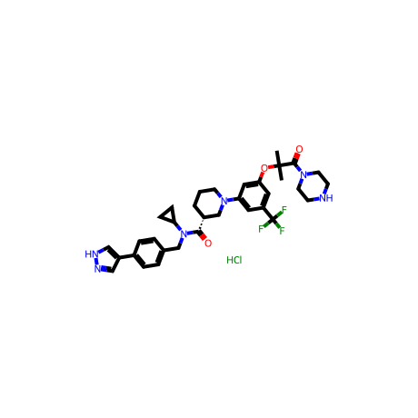 CC(C)(Oc1cc(N2CCC[C@@H](C(=O)N(Cc3ccc(-c4cn[nH]c4)cc3)C3CC3)C2)cc(C(F)(F)F)c1)C(=O)N1CCNCC1.Cl